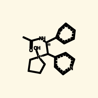 CC(=O)N[C@@H](c1ccccc1)C(c1ccncc1)[N+]1(O)CCCC1